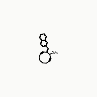 CC(=O)OC1C#CCCCCC#C/C1=C\c1ccc2ccccc2c1